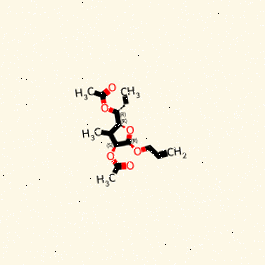 C=CCO[C@@H]1O[C@@H]([C@@H](CC)OC(C)=O)C(C)[C@@H]1OC(C)=O